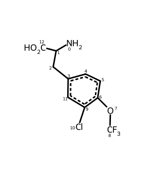 NC(Cc1ccc(OC(F)(F)F)c(Cl)c1)C(=O)O